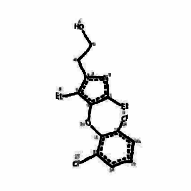 CCc1nn(CCO)c(CC)c1Oc1c(Cl)cccc1Cl